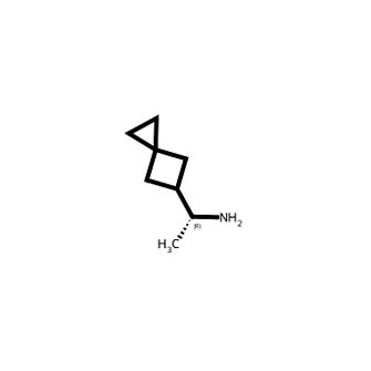 C[C@@H](N)C1CC2(CC2)C1